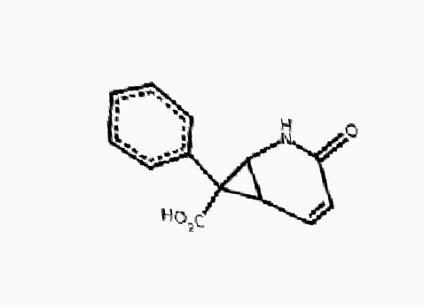 O=C1C=CC2C(N1)C2(C(=O)O)c1ccccc1